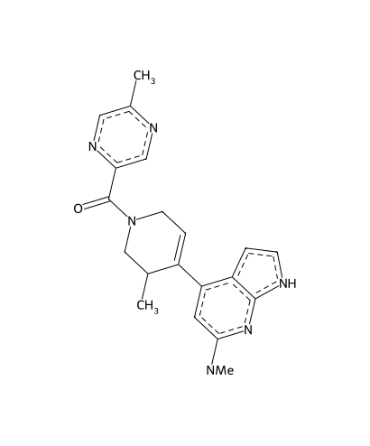 CNc1cc(C2=CCN(C(=O)c3cnc(C)cn3)CC2C)c2cc[nH]c2n1